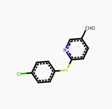 O=Cc1ccc(Sc2ccc(Cl)cc2)nc1